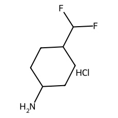 Cl.NC1CCC(C(F)F)CC1